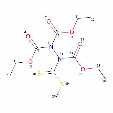 CCOC(=O)N(C(=O)OCC)N(C(=O)OCC)C(=S)SC